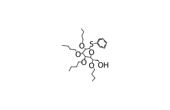 CCCCOC1C(OCCCC)[C@@H](Sc2ccccc2)OC([C@@H](CO)OCCCC)[C@H]1OCCCC